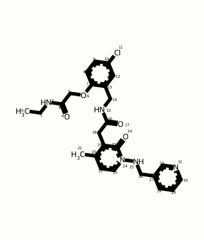 CCNC(=O)COc1ccc(Cl)cc1CNC(=O)Cc1c(C)ccn(NCc2cccnc2)c1=O